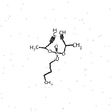 C#CC(C)OP(=O)(OCCCC)OC(C)C#C